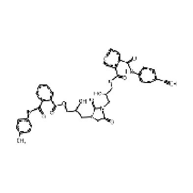 C#Cc1ccc(NC(=O)c2ccccc2C(=O)OCC(O)CN2C(=O)CN(CC(O)COC(=O)c3ccccc3C(=O)Nc3ccc(C)cc3)C2=O)cc1